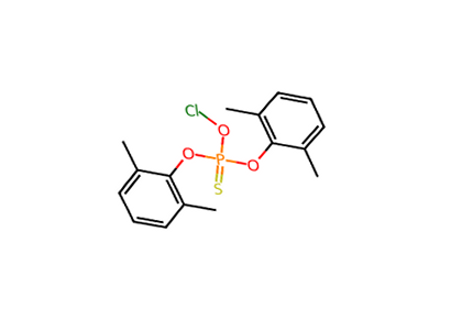 Cc1cccc(C)c1OP(=S)(OCl)Oc1c(C)cccc1C